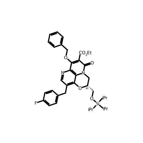 CCOC(=O)c1c(OCc2ccccc2)c2ncc(Cc3ccc(F)cc3)c3c2n(c1=O)C[C@H](CO[Si](C(C)C)(C(C)C)C(C)C)O3